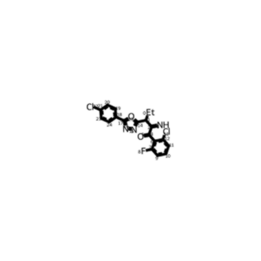 CCC(C(=N)C(=O)c1c(F)cccc1Cl)c1nnc(-c2ccc(Cl)cc2)o1